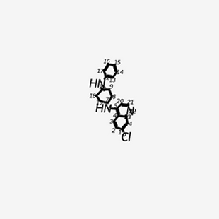 Clc1ccc2c(NC3CCC(Nc4ccccc4)CC3)ccnc2c1